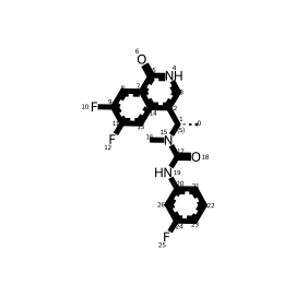 C[C@@H](c1c[nH]c(=O)c2cc(F)c(F)cc12)N(C)C(=O)Nc1cccc(F)c1